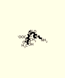 C[C@@H](O)[C@H]1C(=O)N2C(C(=O)[O-])=C(c3cn4cnc(C(=O)c5ccc[n+](CCCN)c5)c4s3)[C@H](C)[C@H]12